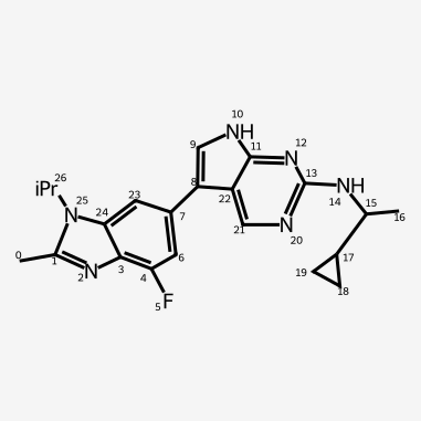 Cc1nc2c(F)cc(-c3c[nH]c4nc(NC(C)C5CC5)ncc34)cc2n1C(C)C